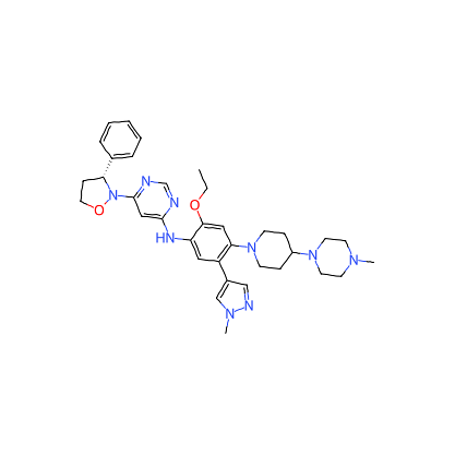 CCOc1cc(N2CCC(N3CCN(C)CC3)CC2)c(-c2cnn(C)c2)cc1Nc1cc(N2OCC[C@@H]2c2ccccc2)ncn1